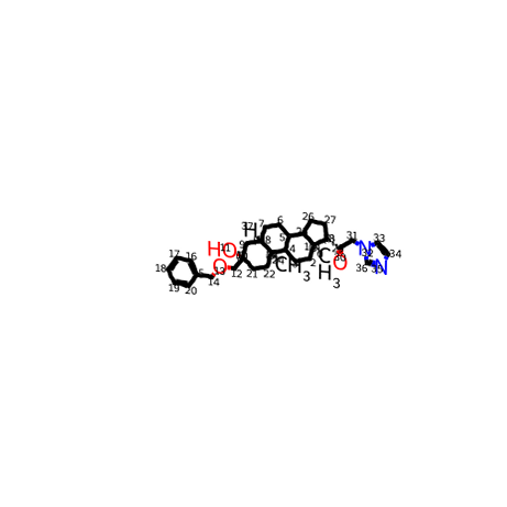 C[C@]12CCC3C(CC[C@H]4C[C@@](O)(COCc5ccccc5)CC[C@]34C)C1CC[C@@H]2C(=O)Cn1ccnc1